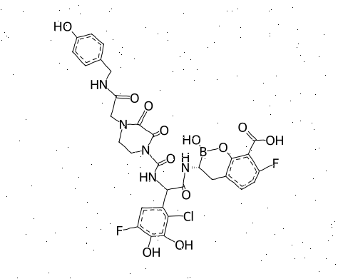 O=C(CN1CCN(C(=O)NC(C(=O)N[C@H]2Cc3ccc(F)c(C(=O)O)c3OB2O)c2cc(F)c(O)c(O)c2Cl)C(=O)C1=O)NCc1ccc(O)cc1